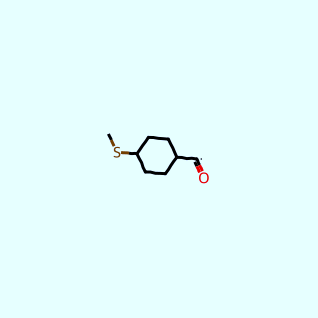 CSC1CCC([C]=O)CC1